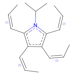 C/C=C\c1c(/C=C\C)c(/C=C\C)n(C(C)C)c1/C=C\C